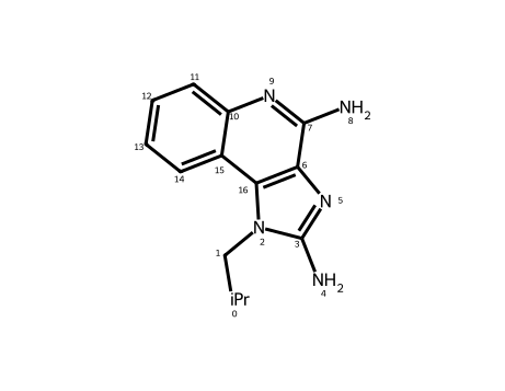 CC(C)Cn1c(N)nc2c(N)nc3ccccc3c21